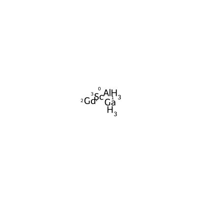 [AlH3].[GaH3].[Gd].[Sc]